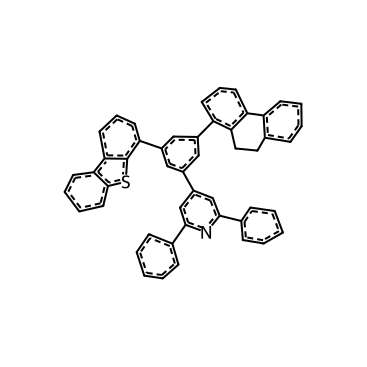 c1ccc(-c2cc(-c3cc(-c4cccc5c4CCc4ccccc4-5)cc(-c4cccc5c4sc4ccccc45)c3)cc(-c3ccccc3)n2)cc1